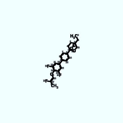 CCC12CCC(c3ccc(-c4cc(F)c(O/C=C(/C)F)c(F)c4)cc3)(OC1)OC2